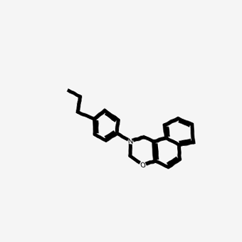 CCCc1ccc(N2COc3ccc4ccccc4c3C2)cc1